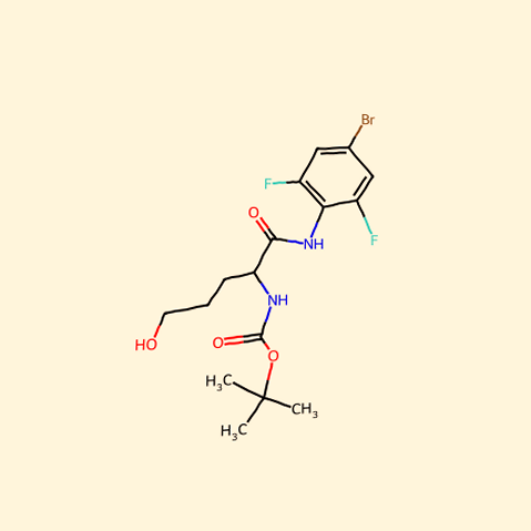 CC(C)(C)OC(=O)NC(CCCO)C(=O)Nc1c(F)cc(Br)cc1F